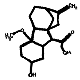 C=C1CC23CC1CCC2C1(OC)CCC(O)CC1C3C(=O)O